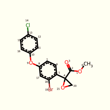 COC(=O)C1(c2ccc(Oc3ccc(Cl)cc3)cc2Br)CO1